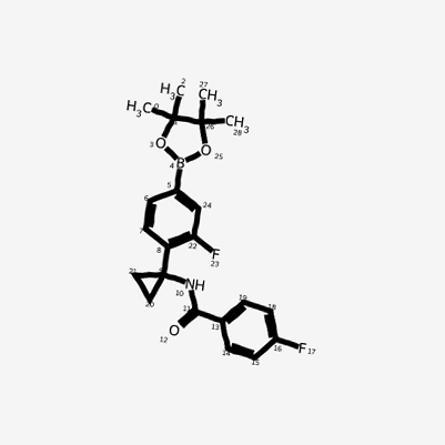 CC1(C)OB(c2ccc(C3(NC(=O)c4ccc(F)cc4)CC3)c(F)c2)OC1(C)C